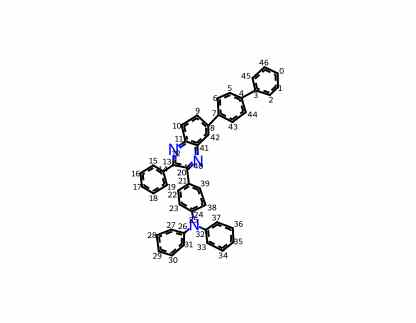 c1ccc(-c2ccc(-c3ccc4nc(-c5ccccc5)c(-c5ccc(N(c6ccccc6)c6ccccc6)cc5)nc4c3)cc2)cc1